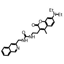 CCN(CC)c1ccc2c(C)c(CCNC(=O)NCc3cc4ccccc4cn3)c(=O)oc2c1